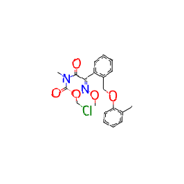 CO/N=C(/C(=O)N(C)C(=O)OCCl)c1ccccc1COc1ccccc1C